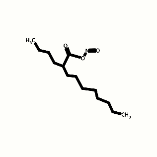 CCCCCCCCC(CCCC)C(=O)ON=O